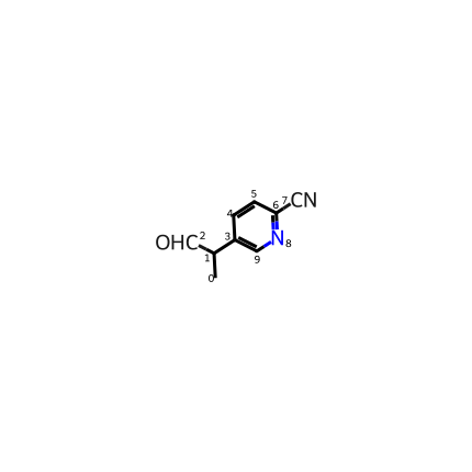 CC(C=O)c1ccc(C#N)nc1